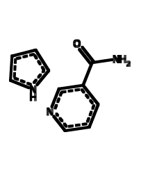 NC(=O)c1cccnc1.c1cc[nH]c1